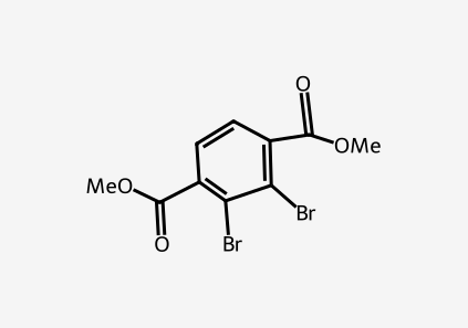 COC(=O)c1ccc(C(=O)OC)c(Br)c1Br